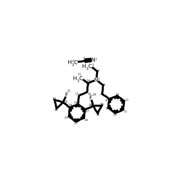 CC#N.CCN(CCc1ccccc1)C(C)CCc1c(C2(F)CC2)cccc1C1(F)CC1